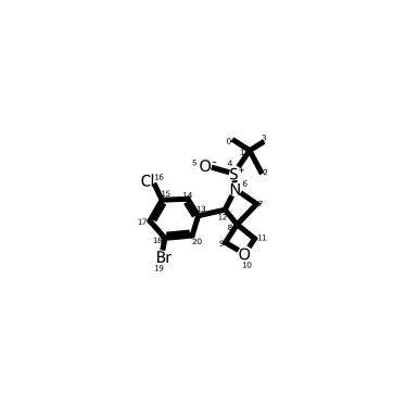 CC(C)(C)[S+]([O-])N1CC2(COC2)C1c1cc(Cl)cc(Br)c1